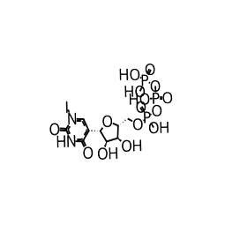 O=c1[nH]c(=O)n(I)cc1[C@@H]1O[C@H](COP(=O)(O)OP(=O)(O)OP(=O)(O)O)[C@@H](O)[C@H]1O